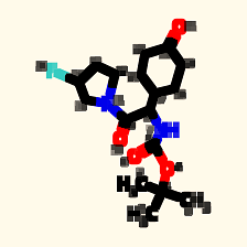 CC(C)(C)OC(=O)NC(C(=O)N1CCC(F)C1)C1CCC(=O)CC1